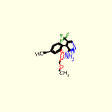 C#Cc1ccc(-c2c(C(F)(F)F)cnnc2N)c(OCOCC)c1